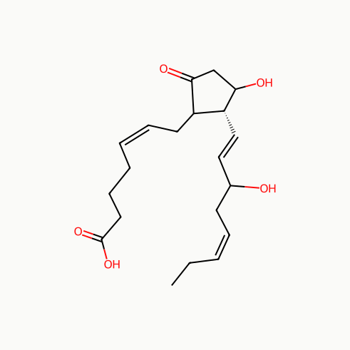 CC/C=C\CC(O)/C=C/[C@H]1C(O)CC(=O)C1C/C=C\CCCC(=O)O